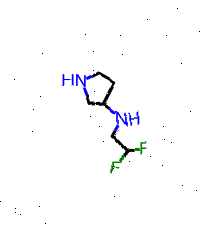 FC(F)CNC1CCNC1